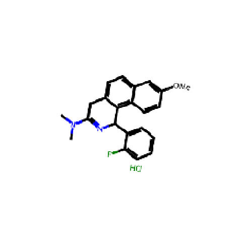 COc1ccc2c3c(ccc2c1)CC(N(C)C)=NC3c1ccccc1F.Cl